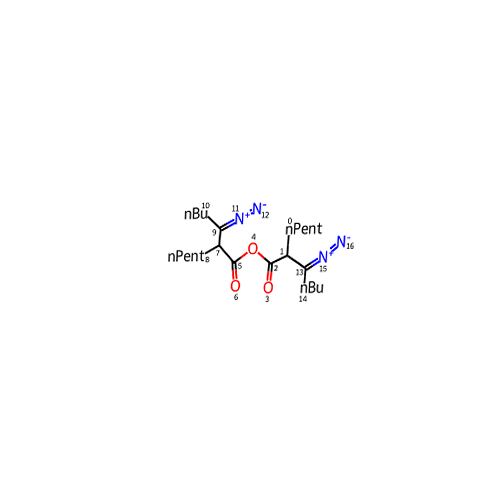 CCCCCC(C(=O)OC(=O)C(CCCCC)C(CCCC)=[N+]=[N-])C(CCCC)=[N+]=[N-]